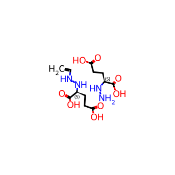 C=CNN[C@@H](CCC(=O)O)C(=O)O.NN[C@@H](CCC(=O)O)C(=O)O